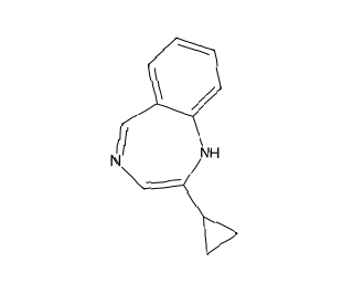 C1=NC=C(C2CC2)Nc2ccccc21